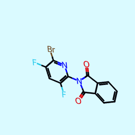 O=C1c2ccccc2C(=O)N1c1nc(Br)c(F)cc1F